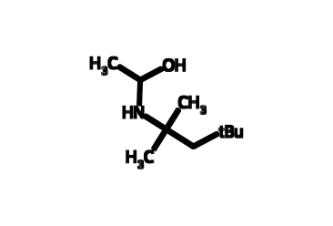 CC(O)NC(C)(C)CC(C)(C)C